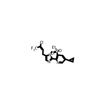 CCS(=O)(=O)c1cc(C2CC2)cnc1-c1ncc(C/C=C(/Cl)C(F)(F)F)n1C